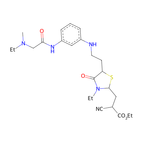 CCOC(=O)C(C#N)CC1SC(CCNc2cccc(NC(=O)CN(C)CC)c2)C(=O)N1CC